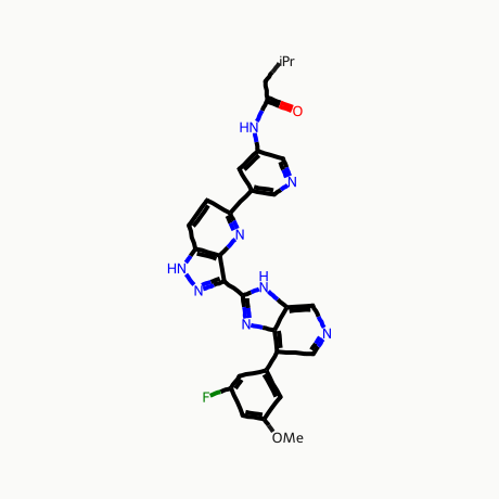 COc1cc(F)cc(-c2cncc3[nH]c(-c4n[nH]c5ccc(-c6cncc(NC(=O)CC(C)C)c6)nc45)nc23)c1